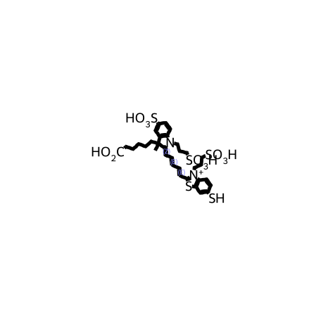 CC1(CCCCCC(=O)O)/C(=C/C=C/C=C/c2sc3cc(S)ccc3[n+]2CCCS(=O)(=O)O)N(CCCS(=O)(=O)O)c2ccc(S(=O)(=O)O)cc21